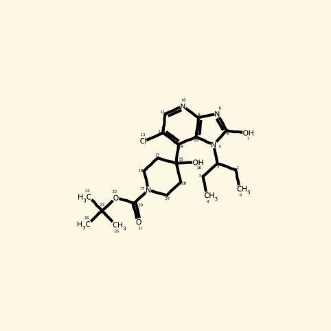 CCC(CC)n1c(O)nc2ncc(Cl)c(C3(O)CCN(C(=O)OC(C)(C)C)CC3)c21